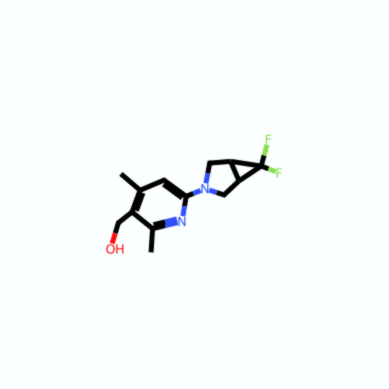 Cc1cc(N2CC3C(C2)C3(F)F)nc(C)c1CO